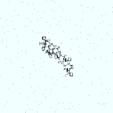 CC(=O)N1CCC(C(=O)N2CCC(Oc3cccc4c(C5CCC(=O)NC5=O)nn(C)c34)CC2)CC1